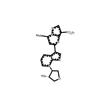 CCOC(=O)c1cnn2c(NC)cc(-c3cnc4n([C@H]5COC[C@@H]5O)cccc3-4)nc12